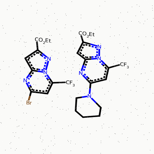 CCOC(=O)c1cc2nc(Br)cc(C(F)(F)F)n2n1.CCOC(=O)c1cc2nc(N3CCCCC3)cc(C(F)(F)F)n2n1